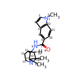 Cn1ccc2cc(C(=O)N[C@@H]3C4CCN(CC4)C3(C)C)ccc21